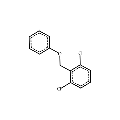 Clc1cccc(Cl)c1COc1c[c]ccc1